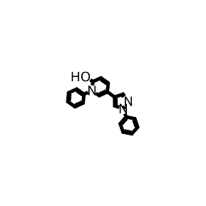 OC1C=CC(c2cnn(-c3ccccc3)c2)=CN1c1ccccc1